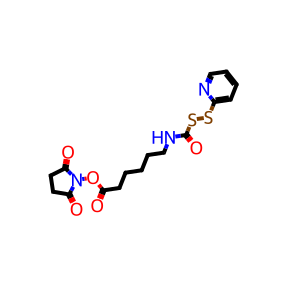 O=C(CCCCCNC(=O)SSc1ccccn1)ON1C(=O)CCC1=O